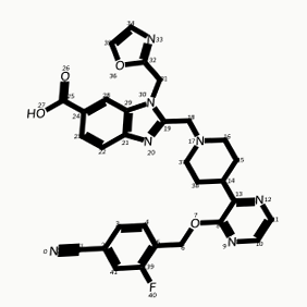 N#Cc1ccc(COc2nccnc2C2CCN(Cc3nc4ccc(C(=O)O)cc4n3Cc3ncco3)CC2)c(F)c1